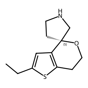 CCc1cc2c(s1)CCO[C@@]21CCNC1